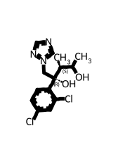 CC(O)[C@H](C)[C@](O)(Cn1cncn1)c1ccc(Cl)cc1Cl